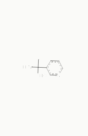 CC(N)(C=O)c1cccnc1